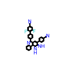 N#Cc1ccc(C2=Cc3c(-c4ccc(-c5c(F)cc(C#N)cc5F)cc4)nc4ccccc4c3C(=N)C2=N)cc1